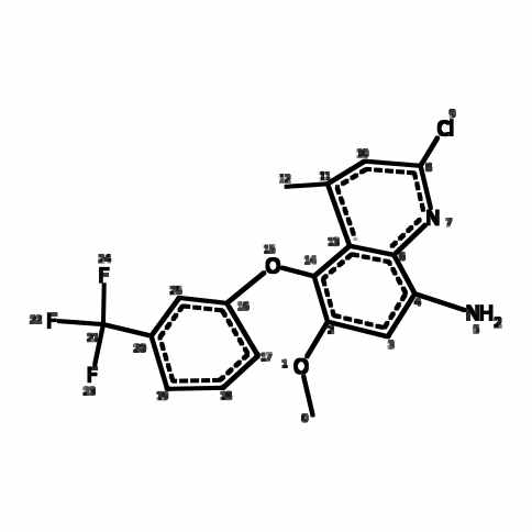 COc1cc(N)c2nc(Cl)cc(C)c2c1Oc1cccc(C(F)(F)F)c1